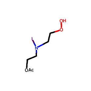 CC(=O)OCCN(I)CCOO